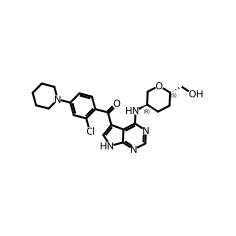 O=C(c1ccc(N2CCCCC2)cc1Cl)c1c[nH]c2ncnc(N[C@@H]3CC[C@@H](CO)OC3)c12